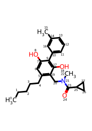 CCCCCc1cc(O)c(-c2cccc(C)c2)c(O)c1CN(C)C(=O)C1CC1